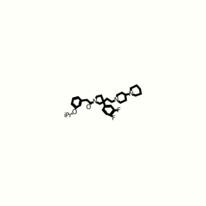 CC(C)Oc1cccc(CC(=O)N2CCC(CCN3CCC(N4CCCCC4)CC3)(c3ccc(F)c(F)c3)C2)c1